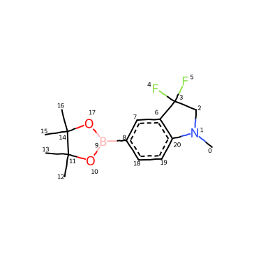 CN1CC(F)(F)c2cc(B3OC(C)(C)C(C)(C)O3)ccc21